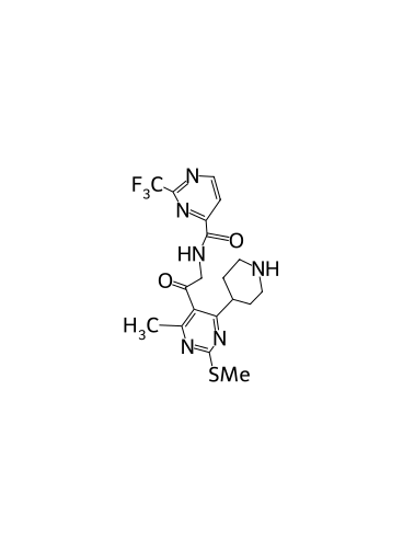 CSc1nc(C)c(C(=O)CNC(=O)c2ccnc(C(F)(F)F)n2)c(C2CCNCC2)n1